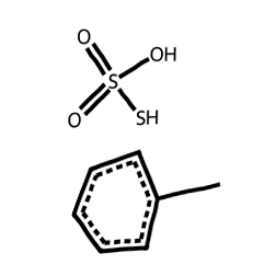 Cc1ccccc1.O=S(=O)(O)S